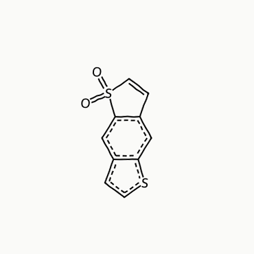 O=S1(=O)C=Cc2cc3sccc3cc21